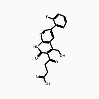 O=C(O)CCC(=O)c1c(CO)c2cc(-c3ccccc3F)cnc2[nH]c1=O